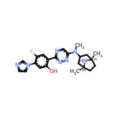 CN(c1cnc(-c2cc(F)c(-n3ccnc3)cc2O)nn1)C1C[C@]2(C)CC[C@](C)(C1)N2